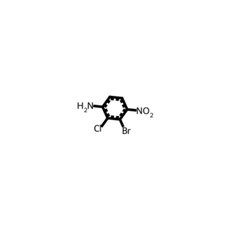 Nc1ccc([N+](=O)[O-])c(Br)c1Cl